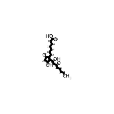 CCCCCC(=O)CC(O)C1=C(CCCCCCC(=O)O)C(=O)CC1O